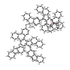 CC1(Cc2ccc3c(c2)c2ccccc2c2ccc4c(c5ccc6ccccc6c5n4-c4nc5c(nc4-c4ccc6sc7ccccc7c6c4)oc4ccccc45)c23)c2ccccc2-c2nc(-n3c4ccc5c6ccccc6c6ccccc6c5c4c4ccc5ccccc5c43)c(-c3ccc4sc5ccccc5c4c3)nc21